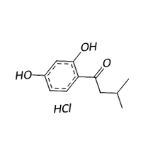 CC(C)CC(=O)c1ccc(O)cc1O.Cl